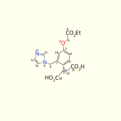 CCOC(=O)COc1cccc(Cn2ccnc2)c1.O=C(O)/C=C/C(=O)O